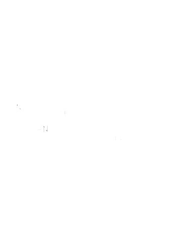 O=C(Cc1ccc(OCc2ccccc2)cc1)Nc1cccnc1